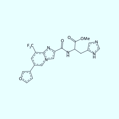 COC(=O)C(Cc1cnc[nH]1)NC(=O)c1cn2cc(-c3ccoc3)cc(C(F)(F)F)c2n1